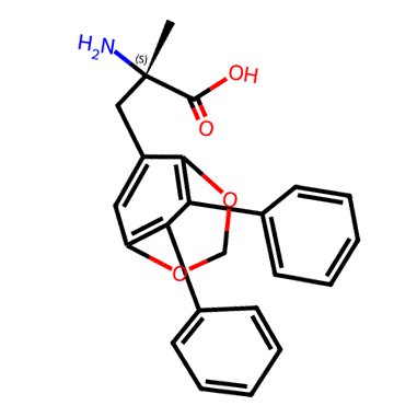 C[C@](N)(Cc1cc2c(-c3ccccc3)c(-c3ccccc3)c1OCO2)C(=O)O